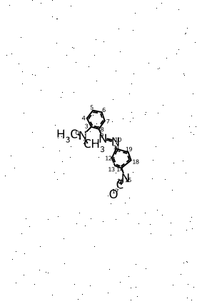 CN(C)c1ccccc1N=Nc1ccc(N=C=O)cc1